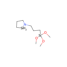 CO[Si](CCCN1CCC[SiH2]1)(OC)OC